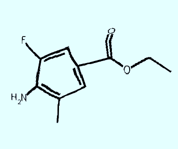 CCOC(=O)c1cc(C)c(N)c(F)c1